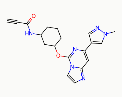 C#CC(=O)NC1CCCC(Oc2nc(-c3cnn(C)c3)cc3nccn23)C1